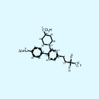 COc1ccc(-c2ncc(CCC(F)(F)C(F)(F)F)nc2N2CCC(C(=O)O)CC2)cc1